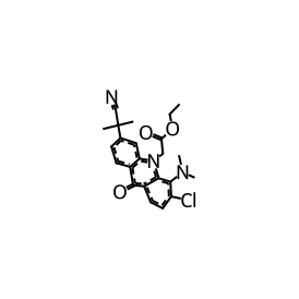 CCOC(=O)Cn1c2cc(C(C)(C)C#N)ccc2c(=O)c2ccc(Cl)c(N(C)C)c21